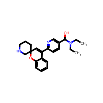 CCN(CC)C(O)c1ccc(C2=CC3(CCCNC3)Oc3ccccc32)nc1